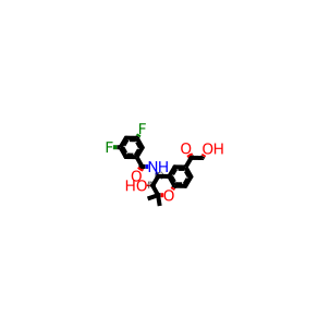 CC1(C)Oc2ccc(C(=O)CO)cc2[C@H](NC(=O)c2cc(F)cc(F)c2)[C@H]1O